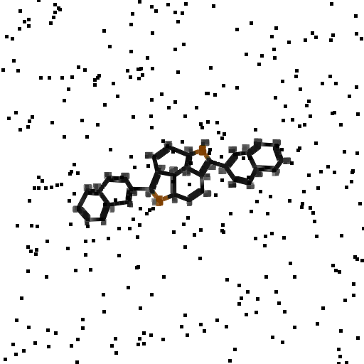 c1ccc2cc(-c3sc4ccc5c(-c6ccc7ccccc7c6)sc6ccc3c4c65)ccc2c1